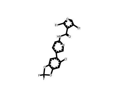 CCc1coc(CC)c1C(=O)Nc1ccc(-c2cc3c(cc2Cl)OC(F)(F)O3)cn1